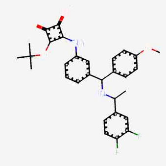 COc1ccc(C(NC(C)c2ccc(F)c(F)c2)c2cccc(Nc3c(OC(C)(C)C)c(=O)c3=O)c2)cc1